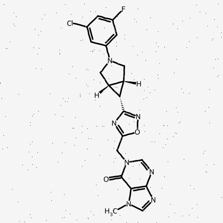 Cn1cnc2ncn(Cc3nc([C@@H]4[C@@H]5CN(c6cc(F)cc(Cl)c6)C[C@@H]54)no3)c(=O)c21